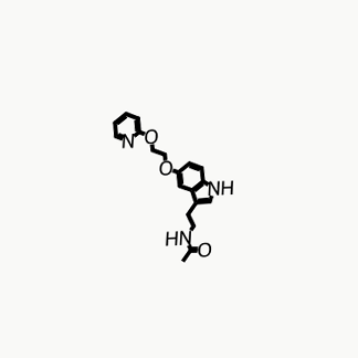 CC(=O)NCCc1c[nH]c2ccc(OCCOc3ccccn3)cc12